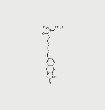 CN(CC(=O)O)C(=O)CCCCCOc1ccc2c(c1)CN1CC(=O)NC1=N2